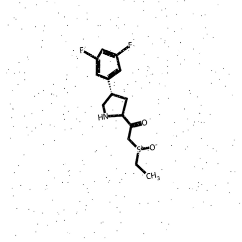 CC[S+]([O-])CC(=O)C1C[C@@H](c2cc(F)cc(F)c2)CN1